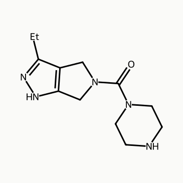 CCc1n[nH]c2c1CN(C(=O)N1CCNCC1)C2